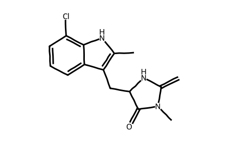 C=C1NC(Cc2c(C)[nH]c3c(Cl)cccc23)C(=O)N1C